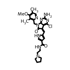 COc1c(C)cnc(CN2C(=O)/C(=C\c3cc(C(=O)NCCN4CCCC4)c[nH]3)c3c(Cl)nc(N)nc32)c1C